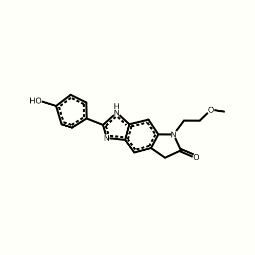 COCCN1C(=O)Cc2cc3nc(-c4ccc(O)cc4)[nH]c3cc21